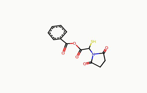 O=C(OC(=O)C(S)N1C(=O)CCC1=O)c1ccccc1